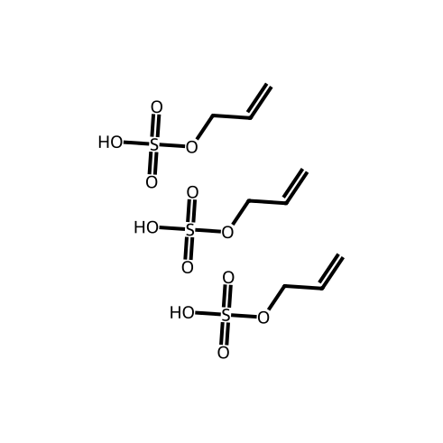 C=CCOS(=O)(=O)O.C=CCOS(=O)(=O)O.C=CCOS(=O)(=O)O